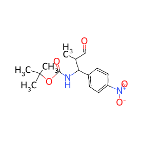 CC(C=O)C(NC(=O)OC(C)(C)C)c1ccc([N+](=O)[O-])cc1